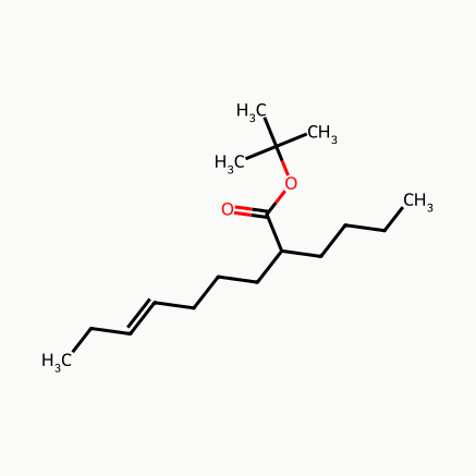 CCC=CCCCC(CCCC)C(=O)OC(C)(C)C